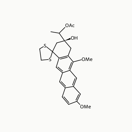 COc1ccc2cc3cc4c(c(OC)c3cc2c1)C[C@@](O)(C(C)OC(C)=O)CC41SCCS1